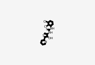 Oc1c(NC(=S)Nc2cccc(Cl)c2Cl)csc1-c1ccccn1